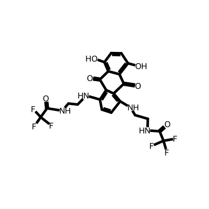 O=C1c2c(O)ccc(O)c2C(=O)c2c(NCCNC(=O)C(F)(F)F)ccc(NCCNC(=O)C(F)(F)F)c21